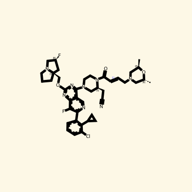 C[C@@H]1CN(C/C=C/C(=O)N2CCN(c3nc(OC[C@@]45CCCN4C[C@H](F)C5)nc4c(F)c(-c5cccc(Cl)c5C5CC5)ncc34)C[C@@H]2CC#N)C[C@@H](C)O1